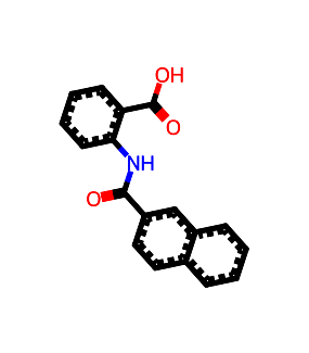 O=C(Nc1ccccc1C(=O)O)c1ccc2ccccc2c1